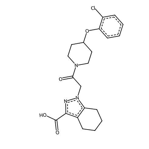 O=C(O)c1nn(CC(=O)N2CCC(Oc3ccccc3Cl)CC2)c2c1CCCC2